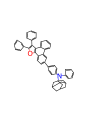 c1ccc(-c2oc3c4ccc(-c5ccc(N(c6ccccc6)C67CC8CC(CC(C8)C6)C7)cc5)cc4c4ccccc4c3c2-c2ccccc2)cc1